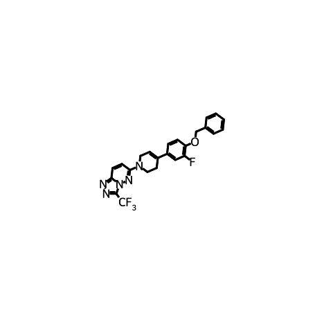 Fc1cc(C2=CCN(c3ccc4nnc(C(F)(F)F)n4n3)CC2)ccc1OCc1ccccc1